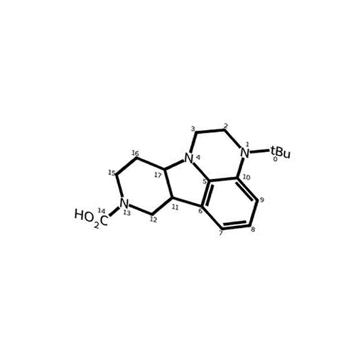 CC(C)(C)N1CCN2c3c(cccc31)C1CN(C(=O)O)CCC12